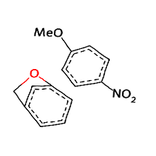 COc1ccc([N+](=O)[O-])cc1.c1cc2cc(c1)OC2